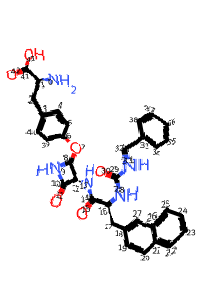 N[C@@H](Cc1ccc(OC2NC(=O)[C@H]2NC(=O)[C@H](Cc2ccc3ccccc3c2)NC(=O)NCc2ccccc2)cc1)C(=O)O